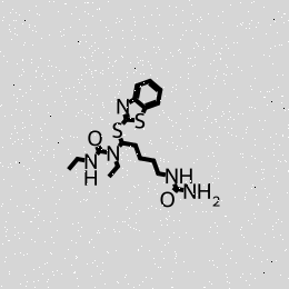 CCNC(=O)N(CC)C(CCCCNC(N)=O)Sc1nc2ccccc2s1